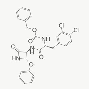 O=C(N[C@@H](Cc1ccc(Cl)c(Cl)c1)C(=O)N[C@@H]1C(=O)N[C@H]1Oc1ccccc1)OCc1ccccc1